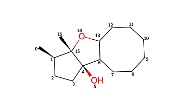 C[C@@H]1CC[C@@]2(O)C3CCCCCCC3O[C@@]12C